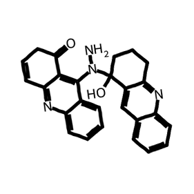 NN(c1c2c(nc3ccccc13)C=CCC2=O)C1(O)CCCc2nc3ccccc3cc21